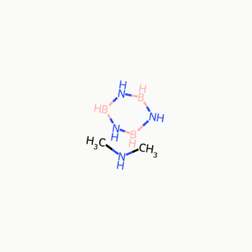 B1NBNBN1.CNC